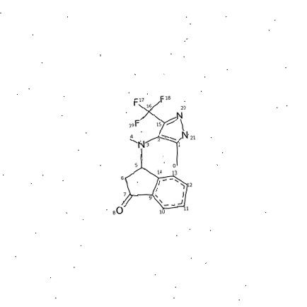 CC1=C(N(C)C2CC(=O)c3ccccc32)C(C(F)(F)F)=N[N]1